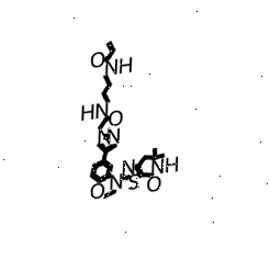 C=CC(=O)NCCCCNC(=O)Cn1cc(-c2ccc3c(c2)N(c2nc4c(s2)C(=O)NC(C)(C)C4)CCO3)cn1